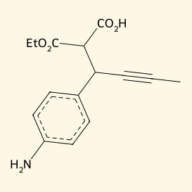 CC#CC(c1ccc(N)cc1)C(C(=O)O)C(=O)OCC